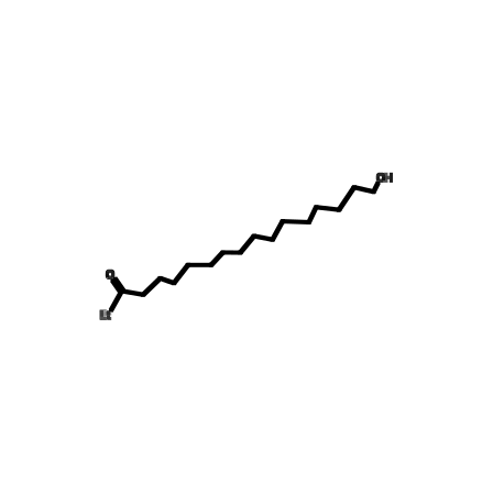 CCC(=O)CCCCCCCCCCCCCCCO